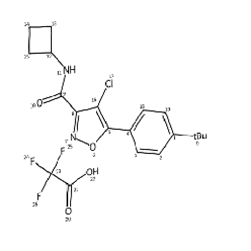 CC(C)(C)c1ccc(-c2onc(C(=O)NC3CCC3)c2Cl)cc1.O=C(O)C(F)(F)F